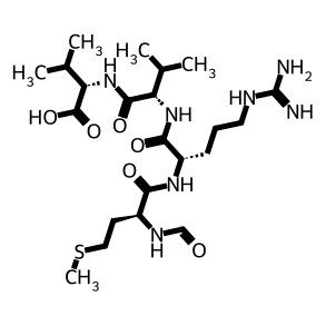 CSCC[C@H](NC=O)C(=O)N[C@@H](CCCNC(=N)N)C(=O)N[C@H](C(=O)N[C@H](C(=O)O)C(C)C)C(C)C